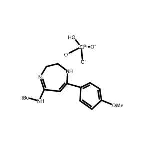 COc1ccc(C2=CC(NC(C)(C)C)=NCCN2)cc1.[O-][Cl+3]([O-])([O-])O